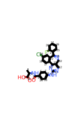 CC(NC(=O)c1ccc(Nc2ncc3c(n2)-c2ccc(Cl)cc2C(c2ccccc2F)=NC3)cc1)C(=O)O